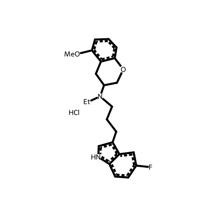 CCN(CCCc1c[nH]c2ccc(F)cc12)C1COc2cccc(OC)c2C1.Cl